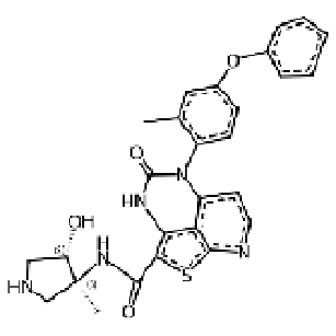 Cc1cc(Oc2ccccc2)ccc1N1C(=O)Nc2c(C(=O)N[C@@]3(C)CNC[C@@H]3O)sc3nccc1c23